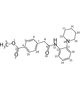 COC(=O)c1ccc(CC(=O)Nc2ccccc2N2CCCCC2)cc1